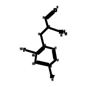 NC(C=O)Cc1ccc(Br)cc1F